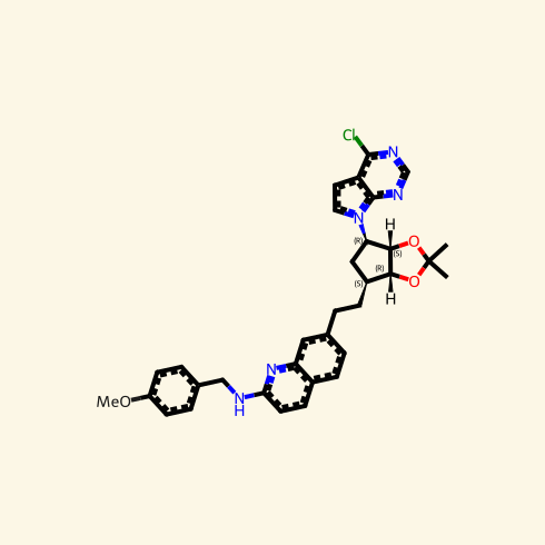 COc1ccc(CNc2ccc3ccc(CC[C@H]4C[C@@H](n5ccc6c(Cl)ncnc65)[C@@H]5OC(C)(C)O[C@H]45)cc3n2)cc1